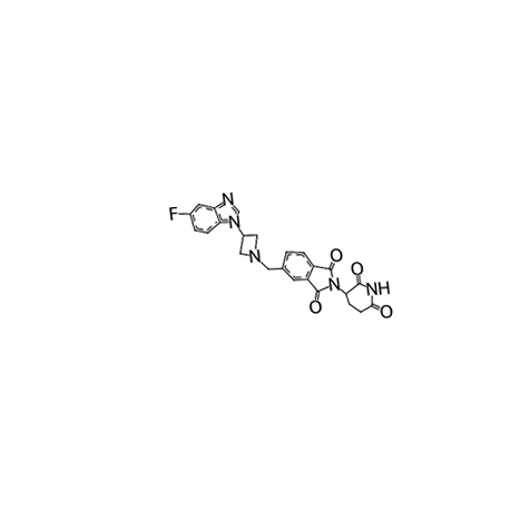 O=C1CCC(N2C(=O)c3ccc(CN4CC(n5cnc6cc(F)ccc65)C4)cc3C2=O)C(=O)N1